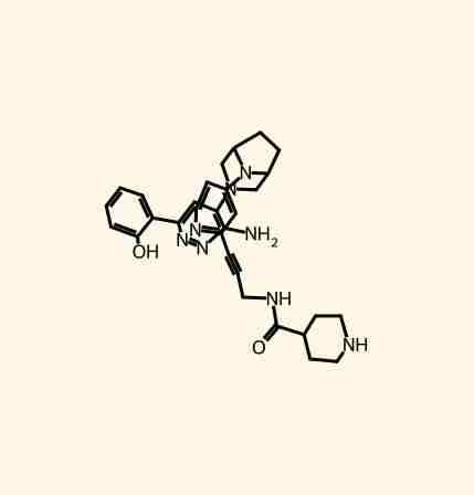 Nc1nnc(-c2ccccc2O)cc1N1CC2CCC(C1)N2c1ccnc(C#CCNC(=O)C2CCNCC2)c1